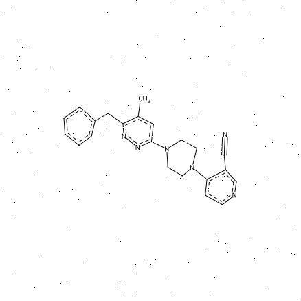 Cc1cc(N2CCN(c3ccncc3C#N)CC2)nnc1Cc1ccccc1